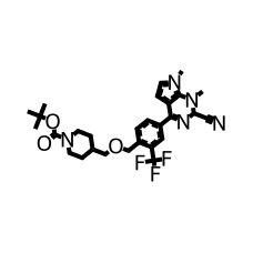 CN1c2c(ccn2C)C(c2ccc(COCC3CCN(C(=O)OC(C)(C)C)CC3)c(C(F)(F)F)c2)=NC1C#N